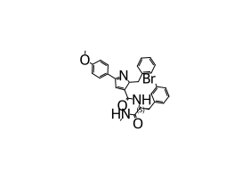 CNC(=O)[C@H](Cc1cccc(Br)c1)NC(=O)C1=CC(c2ccc(OC)cc2)=NC1Cc1ccccc1